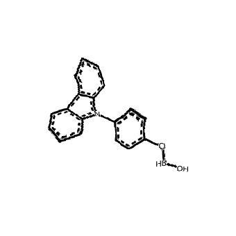 OBOc1ccc(-n2c3ccccc3c3ccccc32)cc1